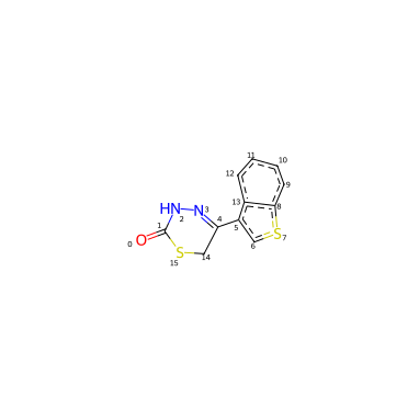 O=C1NN=C(c2csc3ccccc23)CS1